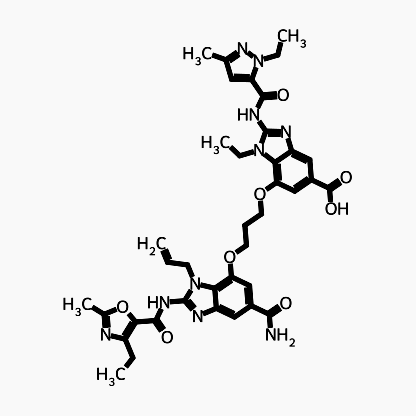 C=CCn1c(NC(=O)c2oc(C)nc2CC)nc2cc(C(N)=O)cc(OCCCOc3cc(C(=O)O)cc4nc(NC(=O)c5cc(C)nn5CC)n(CC)c34)c21